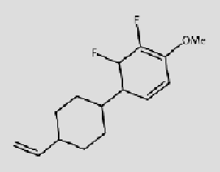 C=CC1CCC(C2C=CC(OC)=C(F)C2F)CC1